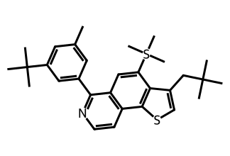 Cc1cc(-c2nccc3c2cc(S(C)(C)C)c2c(CC(C)(C)C)csc23)cc(C(C)(C)C)c1